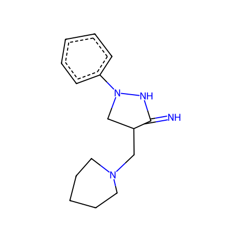 N=C1NN(c2ccccc2)CC1CN1CCCCC1